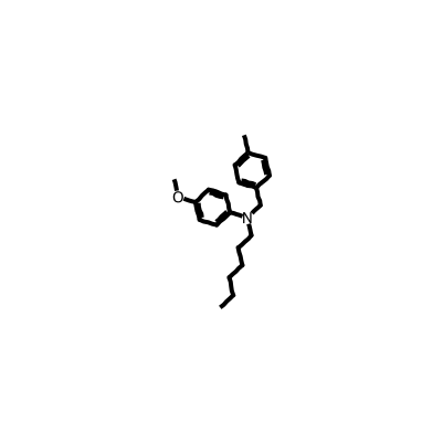 CCCCCCN(Cc1ccc(C)cc1)c1ccc(OC)cc1